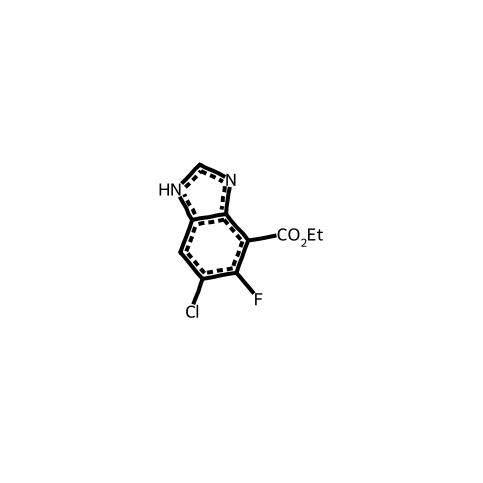 CCOC(=O)c1c(F)c(Cl)cc2[nH]cnc12